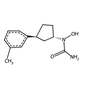 Cc1cccc([C@H]2CC[C@H](N(O)C(N)=O)C2)c1